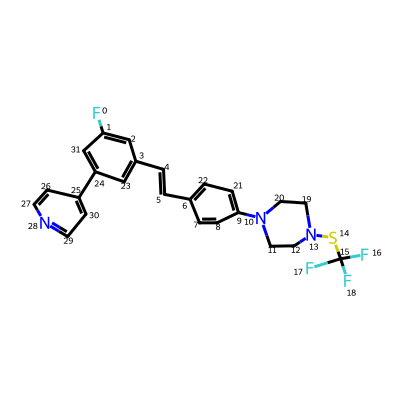 Fc1cc(/C=C/c2ccc(N3CCN(SC(F)(F)F)CC3)cc2)cc(-c2ccncc2)c1